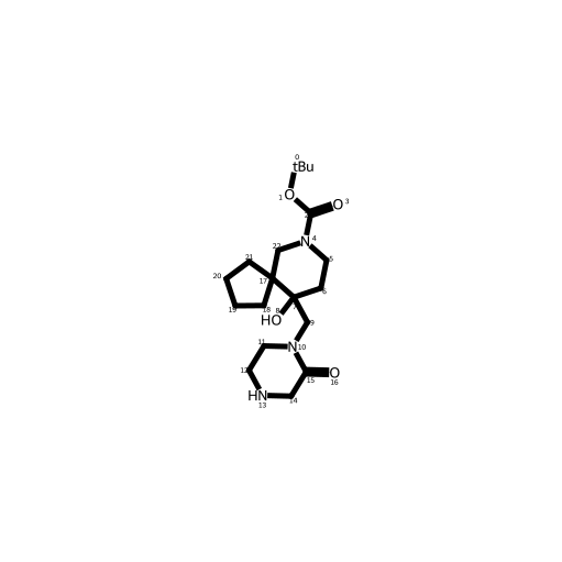 CC(C)(C)OC(=O)N1CCC(O)(CN2CCNCC2=O)C2(CCCC2)C1